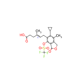 C/C(=C\Cc1c(OS(=O)(=O)C(F)(F)F)c2c(c(C)c1C1CC1)COC2=O)CCC(=O)O